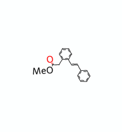 COC(=O)Cc1ccccc1/C=C/c1ccccc1